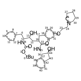 CC(C)(C)OC(=O)NC(Cc1ccccc1)C(O)CC(Cc1ccc(OCCN2CCCCC2)cc1)C(=O)N[C@H]1c2ccccc2C[C@@H]1O